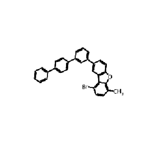 Cc1ccc(Br)c2c1oc1ccc(-c3cccc(-c4ccc(-c5ccccc5)cc4)c3)cc12